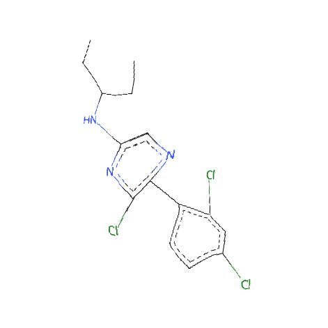 CCC(CC)Nc1cnc(-c2ccc(Cl)cc2Cl)c(Cl)n1